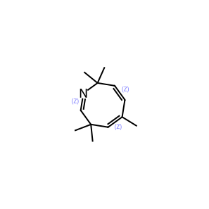 CC1=C/C(C)(C)/C=N\C(C)(C)/C=C\1